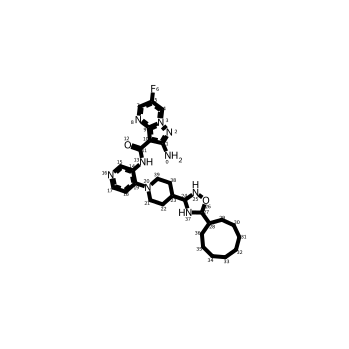 Nc1nn2cc(F)cnc2c1C(=O)Nc1cnccc1N1CCC(C2NOC(C3CCCCCCCC3)N2)CC1